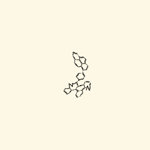 c1cc2ccc3ccc(-c4ccc(-c5nc6ccccc6c6c7ccccc7c7ncccc7c56)cc4)c4ccc(c1)c2c34